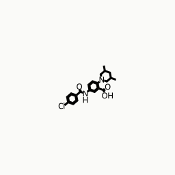 CC1CC(C)CN(c2ccc(NC(=O)c3ccc(Cl)cc3)cc2C(=O)O)C1